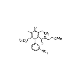 CCOC(=O)C1=C(C)NC(CO)=C(C(=O)OCCOC)C1c1cccc([N+](=O)[O-])c1